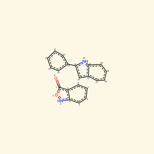 O=c1o[nH]c2ccccc12.c1ccc(-c2cc3ccccc3[nH]2)cc1